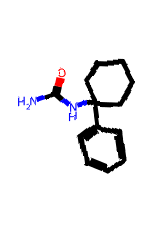 NC(=O)NC1(c2ccccc2)CCCCC1